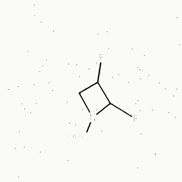 O=CN1CC(F)C1F